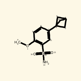 COc1ccc(C23CC(C2)C3)cc1S(N)(=O)=O